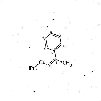 C/C(=N/OC(C)C)c1[c]cccc1